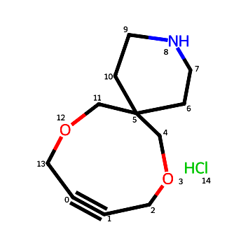 C1#CCOCC2(CCNCC2)COC1.Cl